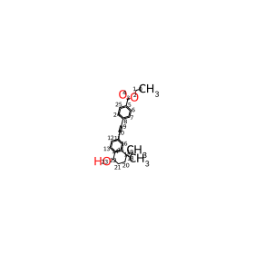 CCOC(=O)c1ccc(C#Cc2ccc3c(c2)C(C)(C)CCC3O)cc1